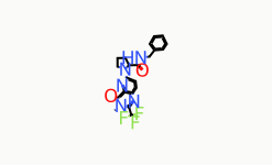 Cn1c(C(F)(F)F)nc2ccc(N3CCCC3C(=O)NCc3ccccc3)nc2c1=O